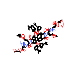 CCOCCC(C(=O)NCCC(=O)OCC1CO1)N1C(=O)c2cc(Oc3cccc(C(C)C)c3)c3c4c(Oc5cccc(C(C)C)c5)cc5c6c(cc(Oc7cccc(C(C)C)c7)c(c7c(Oc8cccc(C(C)C)c8)cc(c2c37)C1=O)c64)C(=O)N(C(CCOCC)C(=O)NCCC(=O)OCC1CO1)C5=O